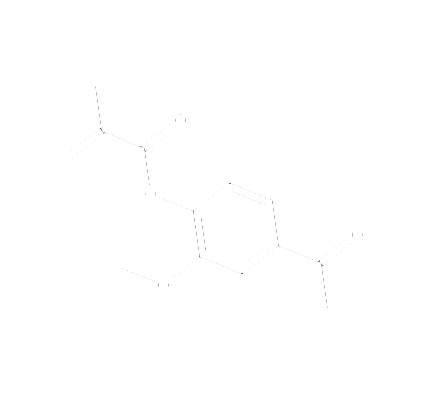 C=C(C)C(=O)Oc1ccc(C(C)=O)cc1OC